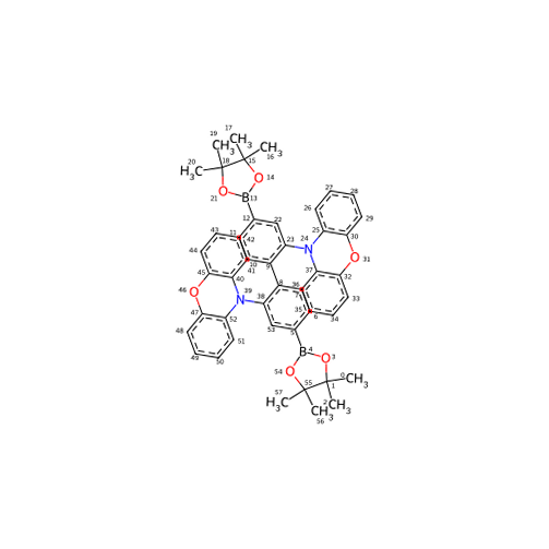 CC1(C)OB(c2ccc(-c3ccc(B4OC(C)(C)C(C)(C)O4)cc3N3c4ccccc4Oc4ccccc43)c(N3c4ccccc4Oc4ccccc43)c2)OC1(C)C